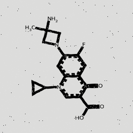 CC1(N)CN(c2cc3c(cc2F)c(=O)c(C(=O)O)cn3C2CC2)C1